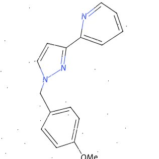 COc1ccc(Cn2[c]cc(-c3ccccn3)n2)cc1